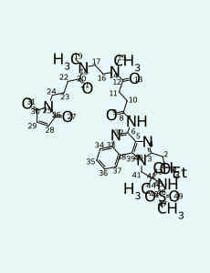 CCOCc1nc2c(NC(=O)CCC(=O)N(C)CCN(C)C(=O)CCCN3C(=O)C=CC3=O)nc3ccccc3c2n1CC(C)(C)NS(C)(=O)=O